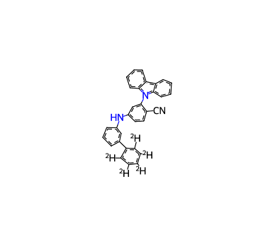 [2H]c1c([2H])c([2H])c(-c2cccc(Nc3ccc(C#N)c(-n4c5ccccc5c5ccccc54)c3)c2)c([2H])c1[2H]